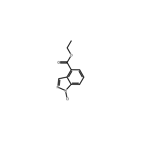 CCOC(=O)c1cccc2c1cnn2Cl